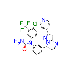 NC(=O)N(c1cccc(-c2ccnc3cc(-c4ccncc4)nn23)c1)c1ccc(Cl)c(C(F)(F)F)c1